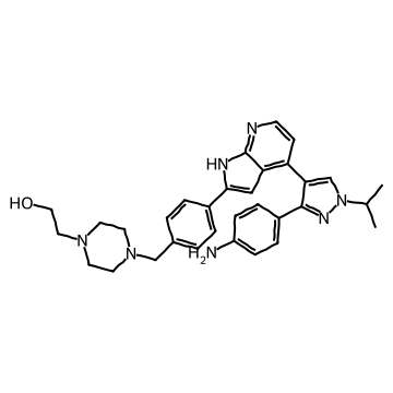 CC(C)n1cc(-c2ccnc3[nH]c(-c4ccc(CN5CCN(CCO)CC5)cc4)cc23)c(-c2ccc(N)cc2)n1